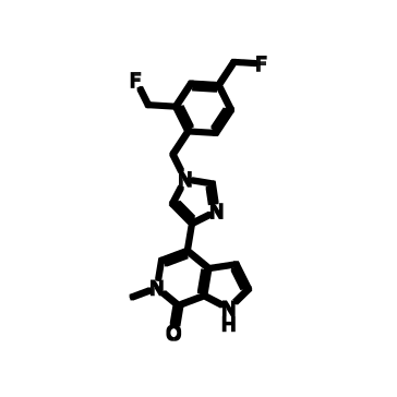 Cn1cc(-c2cn(Cc3ccc(CF)cc3CF)cn2)c2cc[nH]c2c1=O